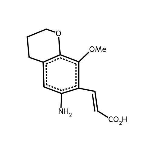 COc1c(/C=C/C(=O)O)c(N)cc2c1OCCC2